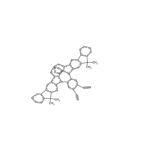 CC1(C)c2ccccc2-c2cc3c4ccccc4n(-c4cc(C#N)c(C#N)cc4-n4c5ccccc5c5cc6c(cc54)C(C)(C)c4ccccc4-6)c3cc21